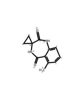 Cc1cccc2c1C(=O)NC1(CC1)C(=O)N2